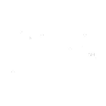 NC(=O)OC[C@@H]1C=C2C=COCC3=C2B(OC3)O1